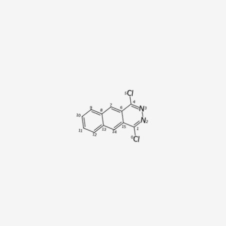 Clc1nnc(Cl)c2cc3ccccc3cc12